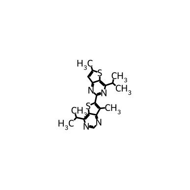 Cc1cc2nc(-c3sc4c(C(C)C)ncnc4c3C)nc(C(C)C)c2s1